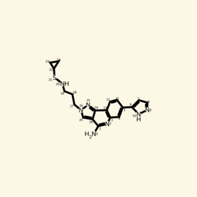 Nc1nc2cc(-c3ccn[nH]3)ccc2c2nn(CCCNSC3CC3)cc12